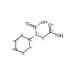 O=C(O)CC(C(=O)O)N1CC[N]CC1